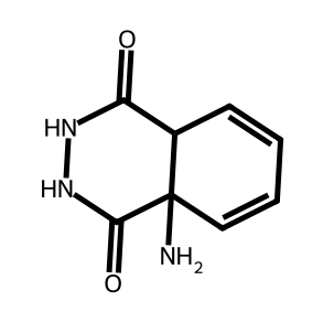 NC12C=CC=CC1C(=O)NNC2=O